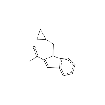 CC(=O)C1=Cc2ccccc2C1CC1CC1